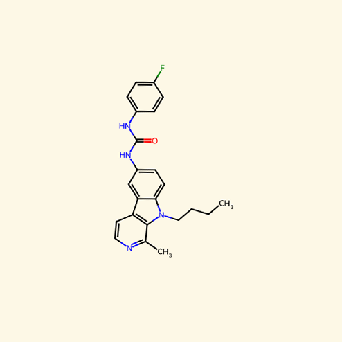 CCCCn1c2ccc(NC(=O)Nc3ccc(F)cc3)cc2c2ccnc(C)c21